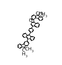 CC1(C)c2ccccc2-c2cc(-c3c4ccccc4c(-c4ccc(-c5cc6oc7ccc8c(c7c6c6ccccc56)-c5ccccc5C8(C)C)cc4)c4ccccc34)ccc21